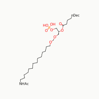 CCCCCCCCCCCCCC(=O)O[C@@H](COCOCCCCCCCCCCCCCCNC(C)=O)COP(=O)(O)O